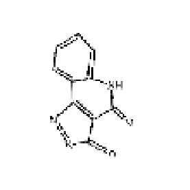 O=C1N=Nc2c1c(=O)[nH]c1ccccc21